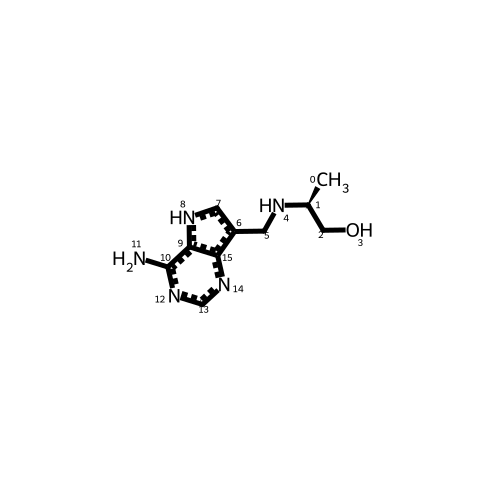 C[C@@H](CO)NCc1c[nH]c2c(N)ncnc12